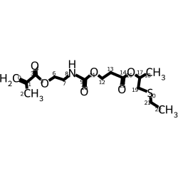 C=C(C)C(=O)OCCNC(=O)OCCC(=O)OC(C)CSCC